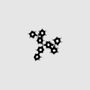 c1ccc(-c2ccc(N(c3ccc4c(c3)c3ccccc3n4-c3ccccc3)c3ccc4c(c3)c3ccccc3n4-c3ccccc3)cc2)cc1